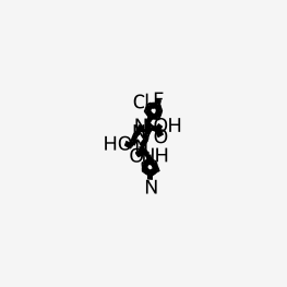 N#Cc1ccc(NC(=O)N2Cc3c(C(=O)O)c(-c4ccc(F)c(Cl)c4)nn3CC2CO)cc1